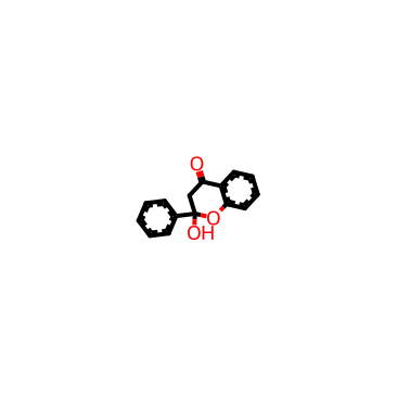 O=C1CC(O)(c2ccccc2)Oc2ccccc21